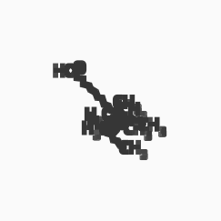 CCCCC(CC)COC(=O)C(CC(CC)CCCC)(C(C)C)C(CCCCCCCCCCCC(=O)O)C(C)C